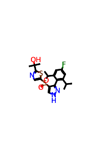 CC(C)c1cc(F)cc(C(C)C)c1-c1n[nH]cc1S(=O)(=O)c1cnc(C(C)(C)O)s1